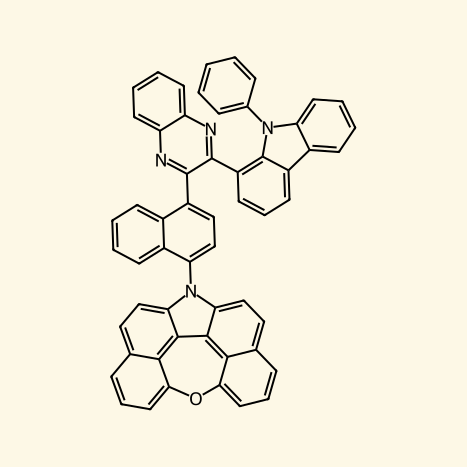 c1ccc(-n2c3ccccc3c3cccc(-c4nc5ccccc5nc4-c4ccc(-n5c6ccc7cccc8oc9cccc%10ccc5c(c%109)c6c78)c5ccccc45)c32)cc1